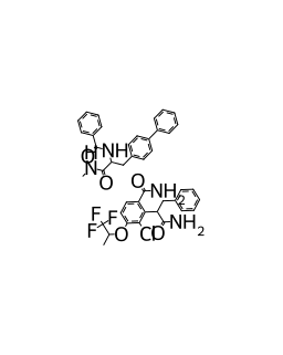 CC(Oc1ccc(C(N)=O)c(C(Cc2ccccc2)C(N)=O)c1Cl)C(F)(F)F.CNC(=O)C(Cc1ccc(-c2ccccc2)cc1)NC(=O)c1ccccc1